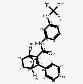 O=C(Nc1cccc(OC(F)(F)F)c1)C1=C(c2ccncc2)[C@@H]2CC[C@H]1O2